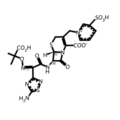 CC(C)(O/N=C(\C(=O)N[C@@H]1C(=O)N2C(C(=O)[O-])=C(C[n+]3cccc(S(=O)(=O)O)c3)CS[C@@H]12)c1nsc(N)n1)C(=O)O